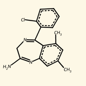 Cc1cc(C)c2c(c1)N=C(N)CN=C2c1ccccc1Cl